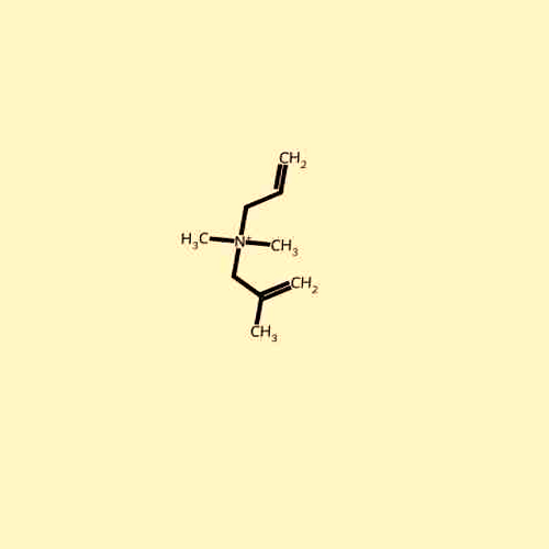 C=CC[N+](C)(C)CC(=C)C